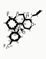 C=CC[C@@H]1OCC[C@@]2(S(=O)(=O)c3ccc(C(F)(F)F)cc3)c3c(F)ccc(F)c3OC[C@@H]12